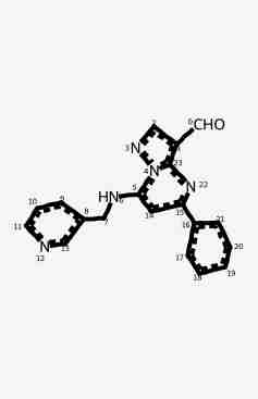 O=Cc1cnn2c(NCc3cccnc3)cc(-c3ccccc3)nc12